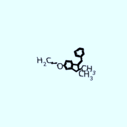 C=CCOc1ccc2c(c1)CC(C)(C)/C2=C/c1ccccc1